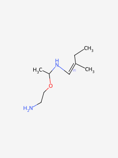 CC/C(C)=C\NC(C)OCCN